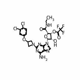 CCNC(=O)[C@@H]1O[C@@H](n2cnc3c(N)nc(N4CC(Oc5ccc(Cl)c(Cl)c5)C4)nc32)[C@@H](O)[C@H]1OC(=O)C(F)(F)F